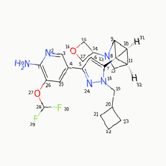 Nc1ncc(-c2cc([C@@]34C5[C@H]3[C@H]4CN5C3COC3)n(CC3CCC3)n2)cc1OC(F)F